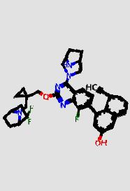 C#Cc1cccc2cc(O)cc(-c3ccc4c(N5CC6CCC(C5)N6)nc(OCC5(CN6C7CCC6C(F)(F)C7)CC5)nc4c3F)c12